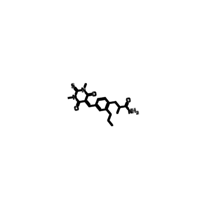 CCCc1cc(C=C2C(=O)N(C)C(=S)N(C)C2=O)ccc1CC(C)C(N)=O